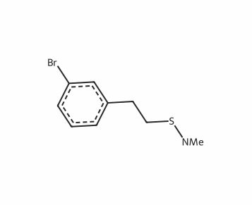 CNSCCc1cccc(Br)c1